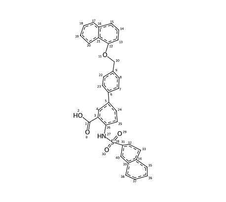 O=C(O)c1cc(-c2ccc(COc3cccc4ccccc34)cc2)ccc1NS(=O)(=O)c1ccc2ccccc2c1